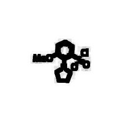 COc1cccc(S(=O)(=O)Cl)c1N1CCCC1